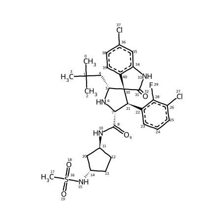 CC(C)(C)C[C@H]1N[C@@H](C(=O)N[C@H]2CC[C@H](NS(C)(=O)=O)C2)[C@H](c2cccc(Cl)c2F)[C@@]12C(=O)Nc1cc(Cl)ccc12